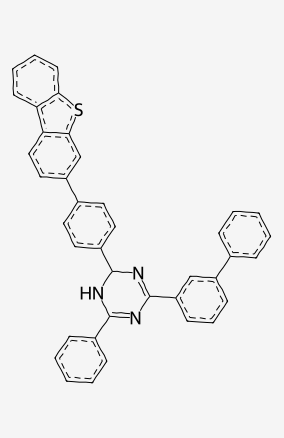 c1ccc(C2=NC(c3cccc(-c4ccccc4)c3)=NC(c3ccc(-c4ccc5c(c4)sc4ccccc45)cc3)N2)cc1